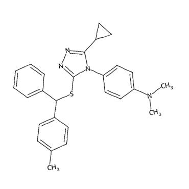 Cc1ccc(C(Sc2nnc(C3CC3)n2-c2ccc(N(C)C)cc2)c2ccccc2)cc1